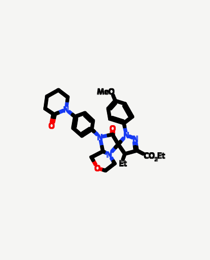 CCOC(=O)C1=NN(c2ccc(OC)cc2)C2(C(=O)N(c3ccc(N4CCCCC4=O)cc3)C3COCCN32)C1CC